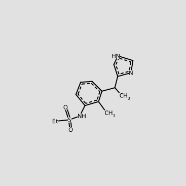 CCS(=O)(=O)Nc1cccc(C(C)c2c[nH]cn2)c1C